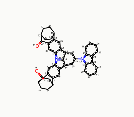 O=C1c2cc3c(cc2C2CCC1CC2)c1cc(-n2c4ccccc4c4ccccc42)cc2c4cc5c(cc4n3c12)C(=O)C1CCC5CC1